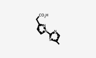 Cc1cnc(-n2ccc(CC(=O)O)n2)s1